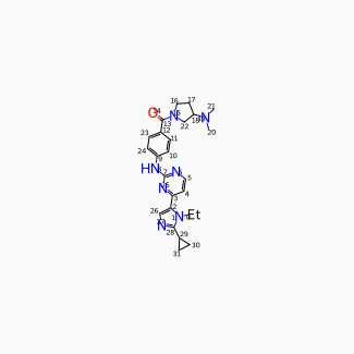 CCn1c(-c2ccnc(Nc3ccc(C(=O)N4CCC(N(C)C)C4)cc3)n2)cnc1C1CC1